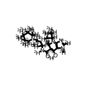 [2H]Oc1c(C(=O)N([2H])C([2H])([2H])CC([2H])([2H])N2C([2H])([2H])C([2H])([2H])C([2H])([2H])C([2H])([2H])C2([2H])[2H])c(=O)n(C([2H])(C([2H])([2H])[2H])C([2H])([2H])[2H])c2nc([2H])n([2H])c12